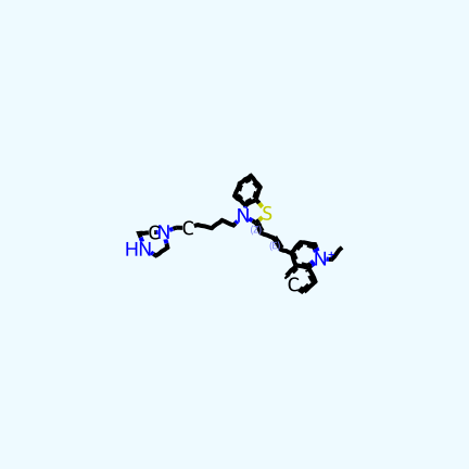 CC[n+]1ccc(/C=C/C=C2\Sc3ccccc3N2CCCCCCN2CCNCC2)c2ccccc21